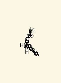 CC(=O)C1CC(C(=O)OCCN2CCC(C3NC(C)NC4C5CCC(OCc6ccc(C)cc6)CC5CCC34)CC2)C1